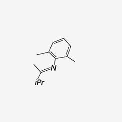 C/C(=N\c1c(C)cccc1C)C(C)C